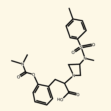 Cc1ccc(S(=O)(=O)N(C)C2CN(C(Cc3ccccc3OC(=O)N(C)C)C(=O)O)C2)cc1